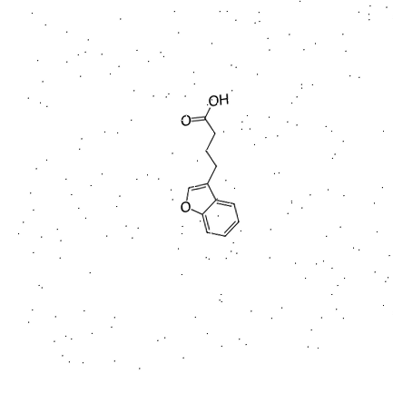 O=C(O)CCCc1coc2ccccc12